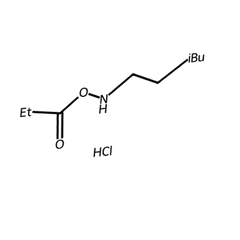 CCC(=O)ONCCC(C)CC.Cl